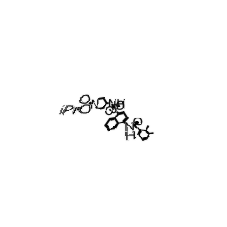 Cc1cccc(C(=O)Nc2ccc(S(=O)(=O)NC3CCN(C(=O)OC(C)C)CC3)c3ccccc23)c1C